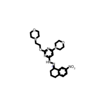 O=[N+]([O-])c1ccc2c(c1)/C(=N/Nc1cc(N3CCOCC3)nc(OCCN3CCOCC3)n1)CCC2